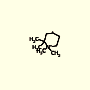 CC1(C)C[CH]CC[N+]1(C)C